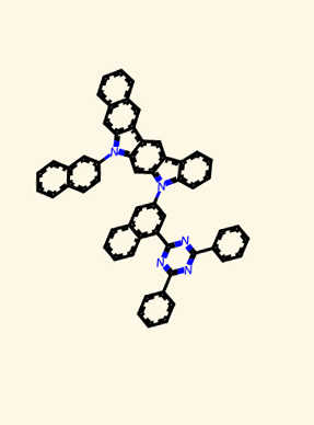 c1ccc(-c2nc(-c3ccccc3)nc(-c3cc(-n4c5ccccc5c5cc6c7cc8ccccc8cc7n(-c7ccc8ccccc8c7)c6cc54)cc4ccccc34)n2)cc1